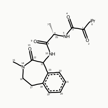 CC(C)C(=O)C(=O)N[C@@H](C)C(=O)NC1C(=O)N(C)CCc2ccccc21